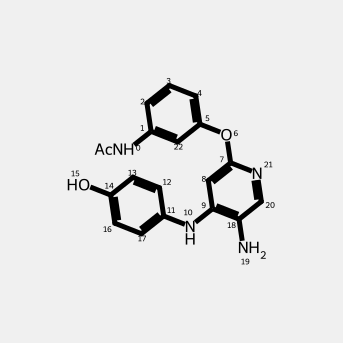 CC(=O)Nc1cccc(Oc2cc(Nc3ccc(O)cc3)c(N)cn2)c1